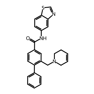 O=C(Nc1ccc2scnc2c1)c1ccc(-c2ccccc2)c(CN2CC=CCC2)c1